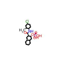 Cc1cc(Cl)ccc1NC(=O)c1cc2ccccc2cc1OP(=O)(O)O